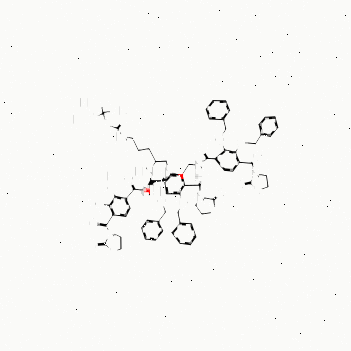 Cc1c(C(=O)NCCN(CCNC(=O)c2ccc(C(=O)N3CCSC3=S)c(OCc3ccccc3)c2OCc2ccccc2)CC(CCCNC(=O)OC(C)(C)C)NC(=O)c2ccc(C(=O)N3CCSC3=S)c(OCc3ccccc3)c2OCc2ccccc2)ccc(C(=O)N2CCSC2=S)c1C